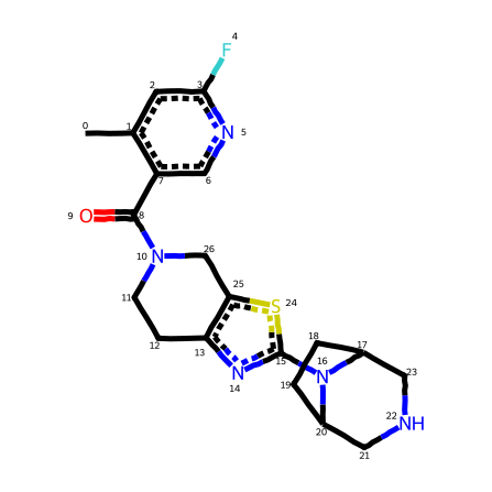 Cc1cc(F)ncc1C(=O)N1CCc2nc(N3C4CCC3CNC4)sc2C1